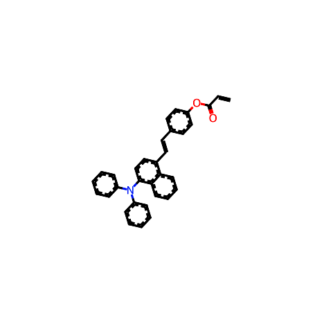 C=CC(=O)Oc1ccc(C=Cc2ccc(N(c3ccccc3)c3ccccc3)c3ccccc23)cc1